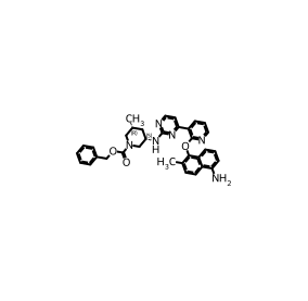 Cc1ccc2c(N)cccc2c1Oc1ncccc1-c1ccnc(N[C@H]2C[C@@H](C)CN(C(=O)OCc3ccccc3)C2)n1